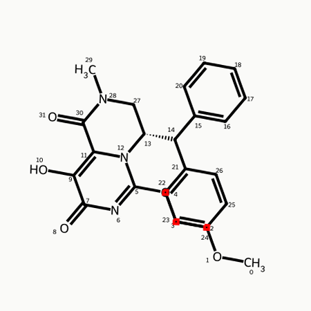 COCCOc1nc(=O)c(O)c2n1[C@@H](C(c1ccccc1)c1ccccc1)CN(C)C2=O